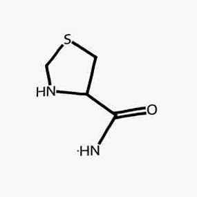 [NH]C(=O)C1CSCN1